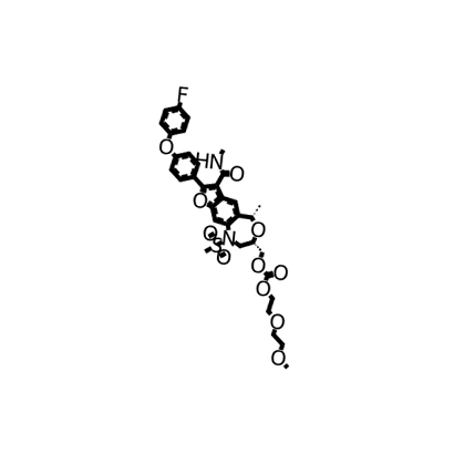 CNC(=O)c1c(-c2ccc(Oc3ccc(F)cc3)cc2)oc2cc3c(cc12)[C@H](C)O[C@H](COC(=O)OCCOCCOC)CN3S(C)(=O)=O